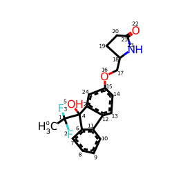 CC(F)(F)C1(O)c2ccccc2-c2ccc(OCC3CCC(=O)N3)cc21